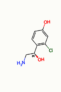 NC[C@H](O)c1ccc(O)cc1Cl